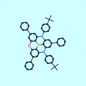 CC(C)(C)c1ccc(N2c3cc(-c4ccccc4)cc4c3P3(=S)c5c(cc(-c6ccccc6)cc5N(c5ccc(C(C)(C)C)cc5)c5cc(-c6ccccc6)cc2c53)O4)cc1